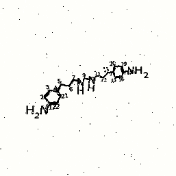 Nc1ccc(CCCNCNCCCc2ccc(N)cc2)cc1